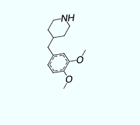 COc1ccc(CC2CCNCC2)cc1OC